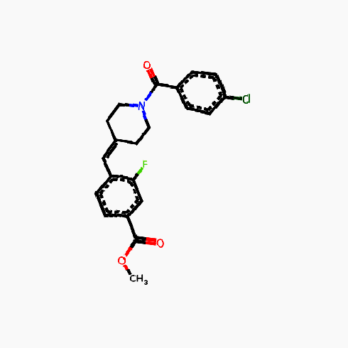 COC(=O)c1ccc(C=C2CCN(C(=O)c3ccc(Cl)cc3)CC2)c(F)c1